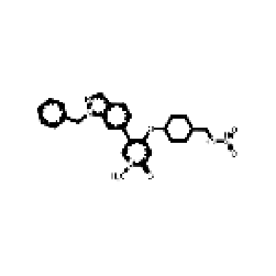 Cn1cc(-c2ccc3cnn(Cc4ccccc4)c3c2)c(OC2CCC(CN[SH](=O)=O)CC2)cc1=O